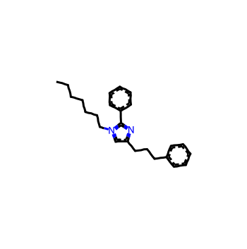 CCCCCCCn1cc(CCCc2ccccc2)nc1-c1ccccc1